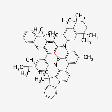 Cc1cc2c3c(c1)N(c1cc4c(cc1C)C(C)(C)CCC4(C)C)c1cc4c(cc1B3N(c1ccc(C(C)(C)C)cc1-c1ccccc1)c1c-2ccc2c1C(C)(C)c1ccccc1-2)Sc1ccccc1C4(C)C